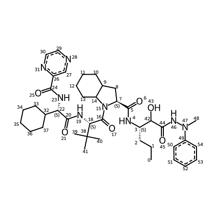 CCC[C@H](NC(=O)[C@@H]1CC2CCCCC2N1C(=O)[C@@H](NC(=O)[C@@H](NC(=O)c1cnccn1)C1CCCCC1)C(C)(C)C)C(O)C(=O)NN(C)c1ccccc1